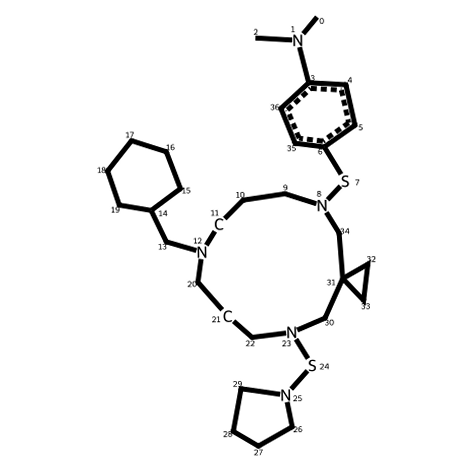 CN(C)c1ccc(SN2CCCN(CC3CCCCC3)CCCN(SN3CCCC3)CC3(CC3)C2)cc1